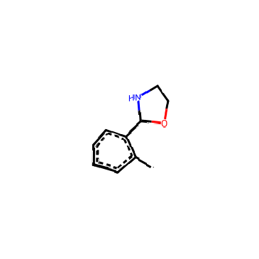 [CH2]c1ccccc1C1NCCO1